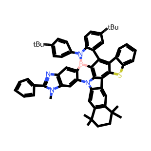 Cn1c(-c2ccccc2)nc2cc3c(cc21)-n1c2cc4c(cc2c2c5sc6ccccc6c5c5c(c21)B3N(c1ccc(C(C)(C)C)cc1)c1ccc(C(C)(C)C)cc1-5)C(C)(C)CCC4(C)C